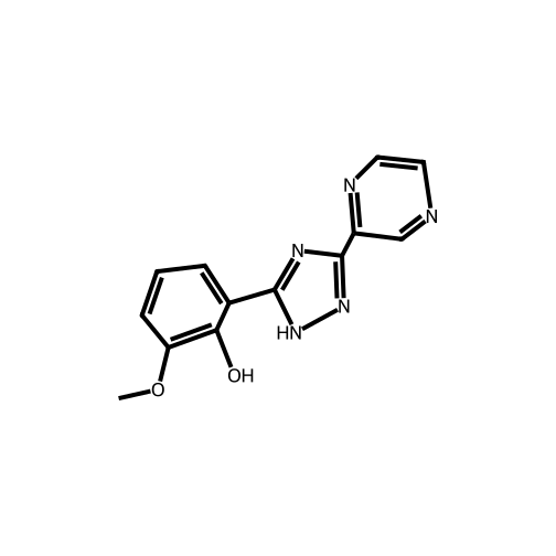 COc1cccc(-c2nc(-c3cnccn3)n[nH]2)c1O